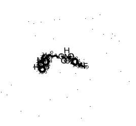 C[C@H](CCCOC(=O)NS(=O)(=O)c1ccc(C(C)(C)CF)cc1)[C@H]1CC[C@H]2[C@@H]3CC[C@@H]4CCCC[C@]4(C)[C@H]3CC[C@]12C